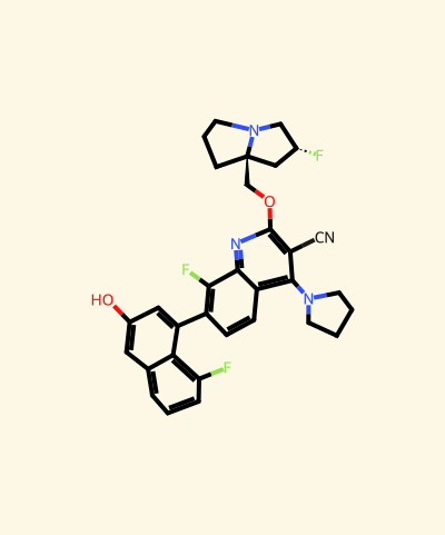 N#Cc1c(OC[C@@]23CCCN2C[C@H](F)C3)nc2c(F)c(-c3cc(O)cc4cccc(F)c34)ccc2c1N1CCCC1